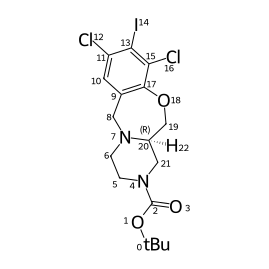 CC(C)(C)OC(=O)N1CCN2Cc3cc(Cl)c(I)c(Cl)c3OC[C@H]2C1